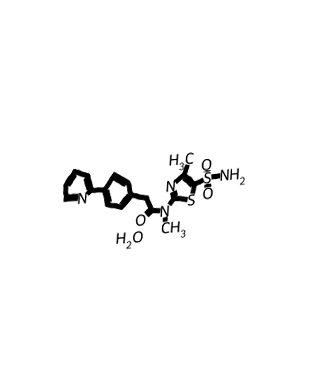 Cc1nc(N(C)C(=O)Cc2ccc(-c3ccccn3)cc2)sc1S(N)(=O)=O.O